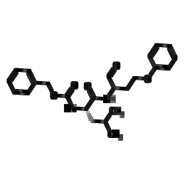 CC(C)C[C@H](NC(=O)OCc1ccccc1)C(=O)NC(C=O)CCOc1ccccc1